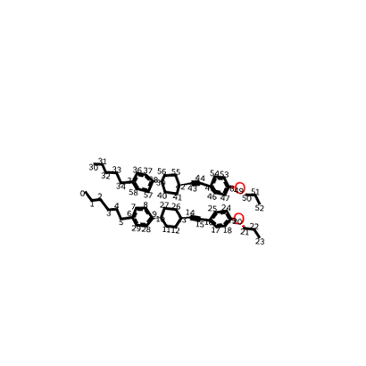 CCCCCCc1ccc([C@H]2CC[C@H](C#Cc3ccc(OCCC)cc3)CC2)cc1.CCCCCc1ccc([C@H]2CC[C@H](C#Cc3ccc(OCCC)cc3)CC2)cc1